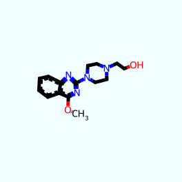 COc1nc(N2CCN(CCO)CC2)nc2ccccc12